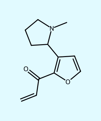 C=CC(=O)c1occc1C1CCCN1C